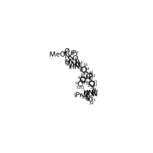 COC(=O)N[C@H](C(=O)N1CCC[C@H]1c1ncc(-c2ccc(-c3ccc(-c4ccc(-c5cnc([C@@H]6CCCN6C(=O)[CH]C(C)C)[nH]5)cc4)n3-c3ccc4c(c3)CCC4)cc2)[nH]1)C(C)C